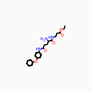 CCOC(=O)CCNC(=O)C(N)CCC(=O)Nc1ccc(Oc2ccccc2)cc1